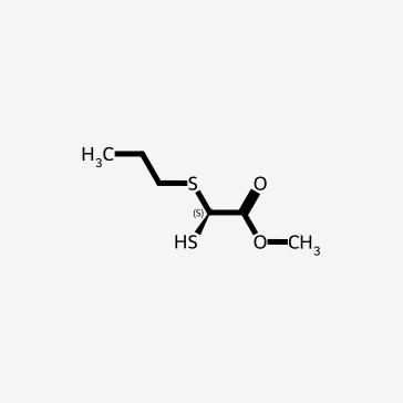 CCCS[C@H](S)C(=O)OC